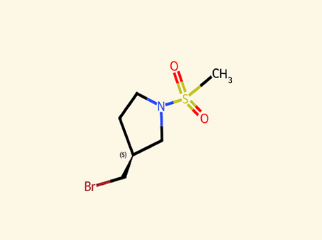 CS(=O)(=O)N1CC[C@H](CBr)C1